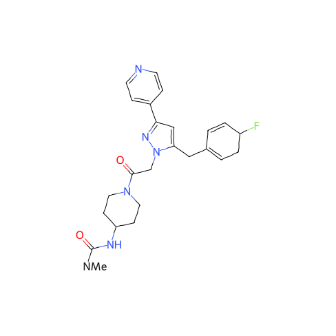 CNC(=O)NC1CCN(C(=O)Cn2nc(-c3ccncc3)cc2CC2=CCC(F)C=C2)CC1